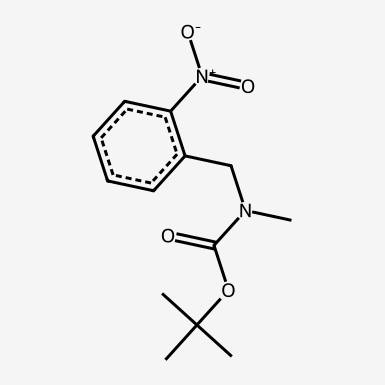 CN(Cc1ccccc1[N+](=O)[O-])C(=O)OC(C)(C)C